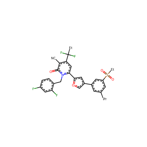 CCC(F)(F)c1cc(-c2cc(-c3cc(C(C)C)cc(S(=O)(=O)CC)c3)co2)n(Cc2ccc(F)cc2F)c(=O)c1C#N